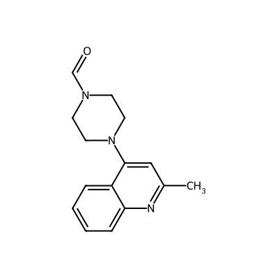 Cc1cc(N2CCN(C=O)CC2)c2ccccc2n1